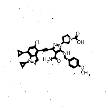 COc1ccc(CNc2c(C(N)=O)c(C#Cc3c(Cl)cc(C4CC4)c4c3cnn4C3CC3)nn2C2CCN(C(=O)O)C2)cc1